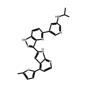 Cc1ccc(-c2ccnc3[nH]c(-c4n[nH]c5ccc(-c6cncc(NC(C)C)c6)nc45)cc23)s1